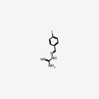 N=C(N)N/N=C/c1ccc(I)cc1